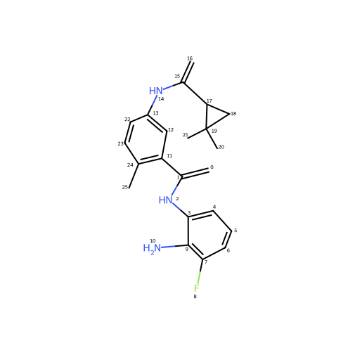 C=C(Nc1cccc(F)c1N)c1cc(NC(=C)C2CC2(C)C)ccc1C